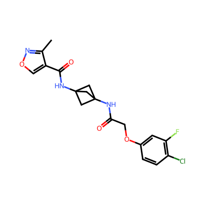 Cc1nocc1C(=O)NC12CC(NC(=O)COc3ccc(Cl)c(F)c3)(C1)C2